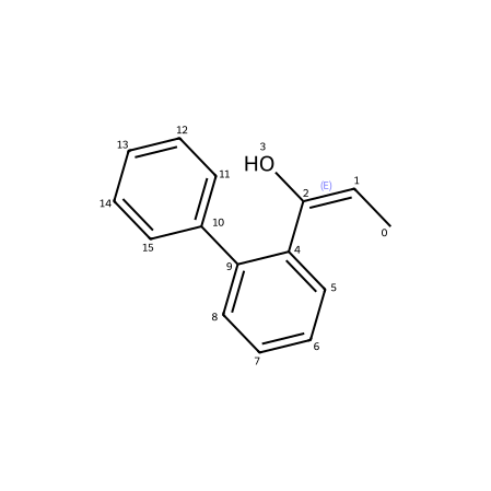 C/C=C(/O)c1ccccc1-c1ccccc1